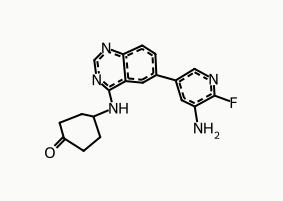 Nc1cc(-c2ccc3ncnc(NC4CCC(=O)CC4)c3c2)cnc1F